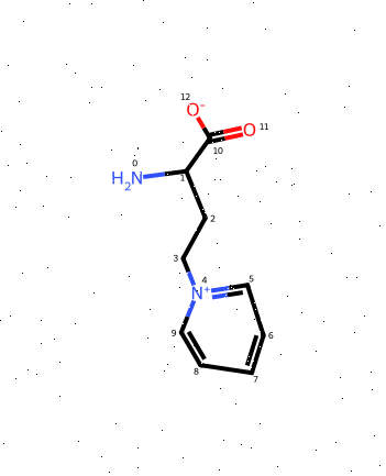 NC(CC[n+]1ccccc1)C(=O)[O-]